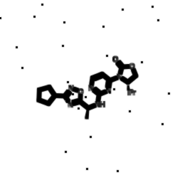 CC(C)[C@H]1COC(=O)N1c1ccnc(N[C@@H](C)c2nc(C3CCCC3)no2)n1